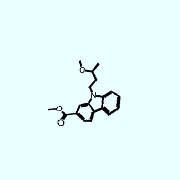 COC(=O)c1ccc2c3ccccc3n(CCC(C)OC)c2c1